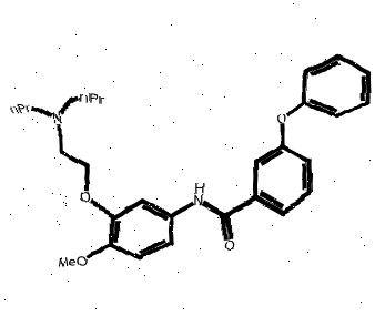 CCCN(CCC)CCOc1cc(NC(=O)c2cccc(Oc3ccccc3)c2)ccc1OC